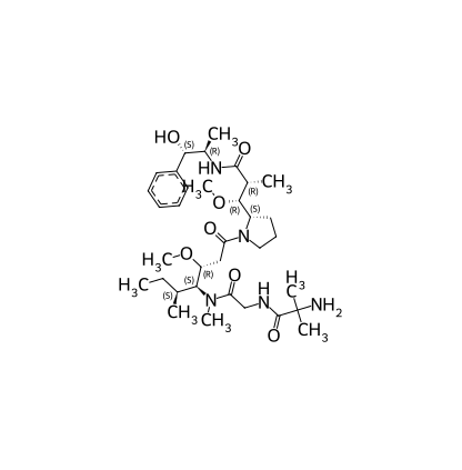 CC[C@H](C)[C@@H]([C@@H](CC(=O)N1CCC[C@H]1[C@H](OC)[C@@H](C)C(=O)N[C@H](C)[C@@H](O)c1ccccc1)OC)N(C)C(=O)CNC(=O)C(C)(C)N